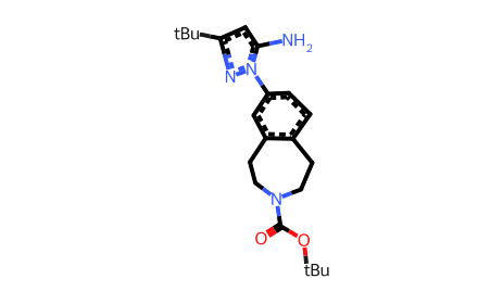 CC(C)(C)OC(=O)N1CCc2ccc(-n3nc(C(C)(C)C)cc3N)cc2CC1